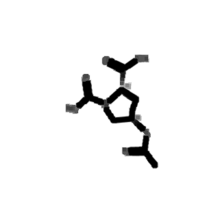 CC(=O)S[C@@H]1C[C@@H](C(=O)O)N(C(=O)O)C1